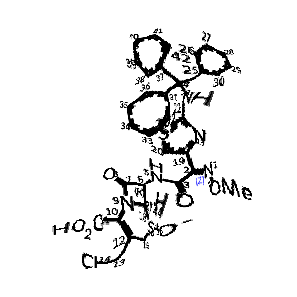 CO/N=C(\C(=O)N[C@@H]1C(=O)N2C(C(=O)O)=C(CCl)C[S+]([O-])[C@H]12)c1csc(NC(c2ccccc2)(c2ccccc2)c2ccccc2)n1